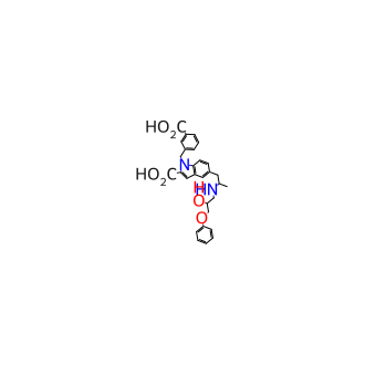 CC(Cc1ccc2c(c1)cc(C(=O)O)n2Cc1cccc(C(=O)O)c1)NCC(O)COc1ccccc1